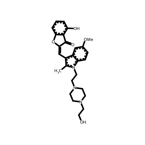 COc1ccc2c(c1)c(C=C1Oc3cccc(O)c3C1=O)c(C)n2CCN1CCN(CCO)CC1